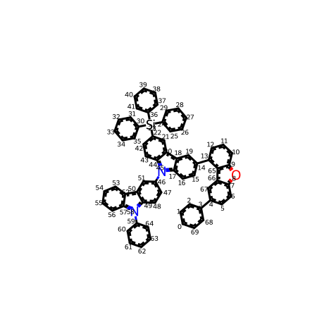 c1ccc(-c2ccc3oc4cccc(-c5ccc6c(c5)c5cc([Si](c7ccccc7)(c7ccccc7)c7ccccc7)ccc5n6-c5ccc6c(c5)c5ccccc5n6-c5ccccc5)c4c3c2)cc1